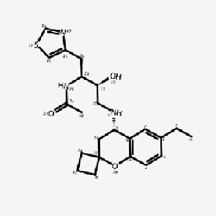 CCc1ccc2c(c1)[C@@H](NC[C@H](O)[C@H](Cc1cscn1)NC(C)=O)CC1(CCC1)O2